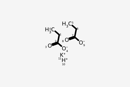 CCC(=O)[O-].CCC(=O)[O-].[H+].[K+]